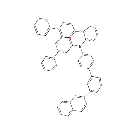 c1ccc(-c2ccc(-c3ccccc3N(c3ccc(-c4cccc(-c5ccc6ccccc6c5)c4)cc3)c3cccc(-c4ccccc4)c3)cc2)cc1